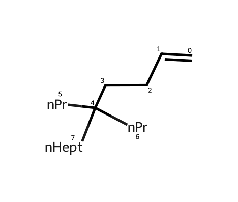 C=CCCC(CCC)(CCC)CCCCCCC